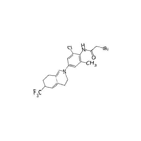 Cc1cc(N2C=C3CCC(C(F)(F)F)C=C3CC2)cc(Cl)c1NC(=O)CC(C)(C)C